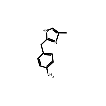 [CH2]c1c[nH]c(Cc2ccc(N)cc2)n1